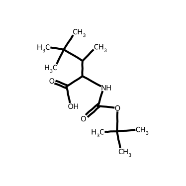 CC(C(NC(=O)OC(C)(C)C)C(=O)O)C(C)(C)C